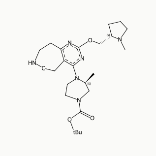 C[C@H]1CN(C(=O)OC(C)(C)C)CCN1c1nc(OC[C@@H]2CCCN2C)nc2c1CCNCC2